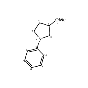 COC1CCN(c2c[c]ccc2)C1